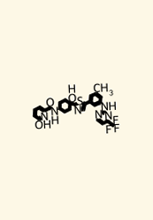 Cc1cc(Nc2nccc(C(F)(F)F)n2)cc(-c2cnc([C@]3(O)CC[C@H](NC(=O)c4cccc(O)n4)CC3)s2)c1